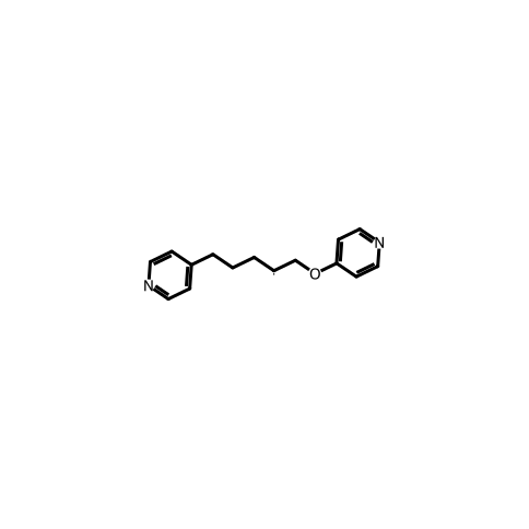 [CH](CCCc1ccncc1)COc1ccncc1